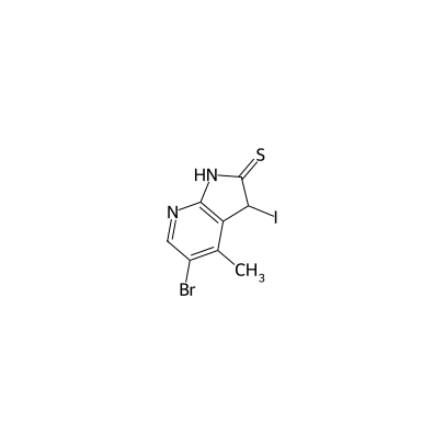 Cc1c(Br)cnc2c1C(I)C(=S)N2